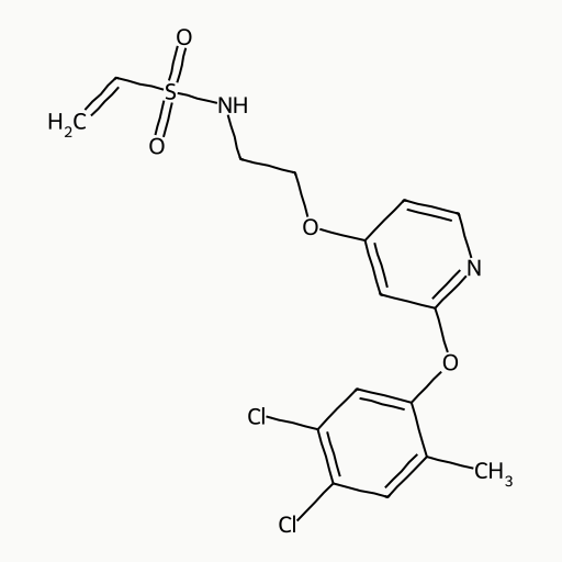 C=CS(=O)(=O)NCCOc1ccnc(Oc2cc(Cl)c(Cl)cc2C)c1